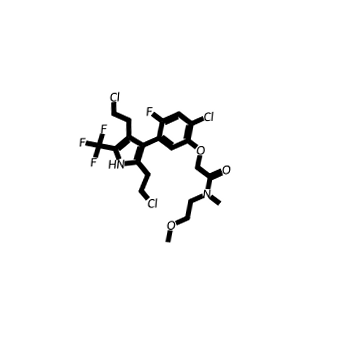 COCCN(C)C(=O)COc1cc(-c2c(CCCl)[nH]c(C(F)(F)F)c2CCCl)c(F)cc1Cl